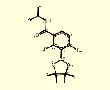 CC(C)NC(=O)c1ccc(F)c(B2OC(C)(C)C(C)(C)O2)c1F